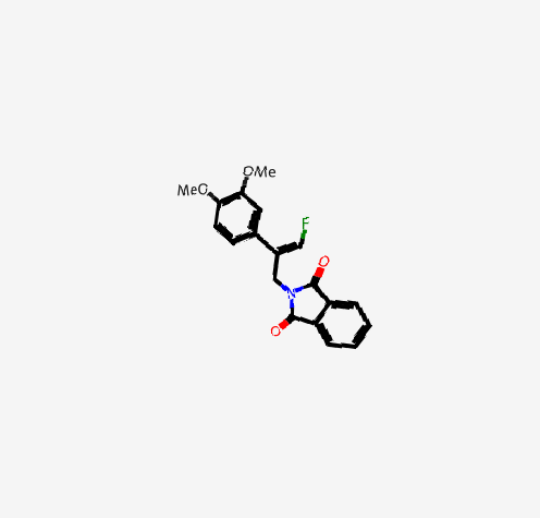 COc1ccc(/C(=C\F)CN2C(=O)c3ccccc3C2=O)cc1OC